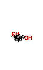 CC(O)[C@H]1CC[C@H]2[C@@H]3CC=C4C[C@@H](O)CC[C@]4(C)[C@H]3[C@H](C)C[C@]12C